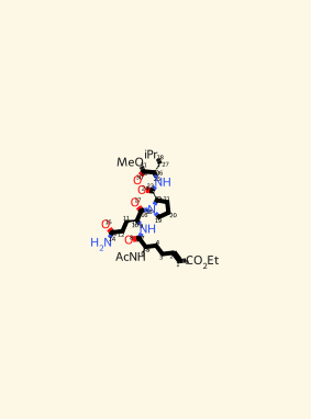 CCOC(=O)C=CCC[C@H](NC(C)=O)C(=O)N[C@@H](CCC(N)=O)C(=O)N1CCC[C@H]1C(=O)N[C@@H](CC(C)C)C(=O)OC